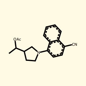 CC(=O)OC(C)C1CCN(c2ccc(C#N)c3ccccc23)C1